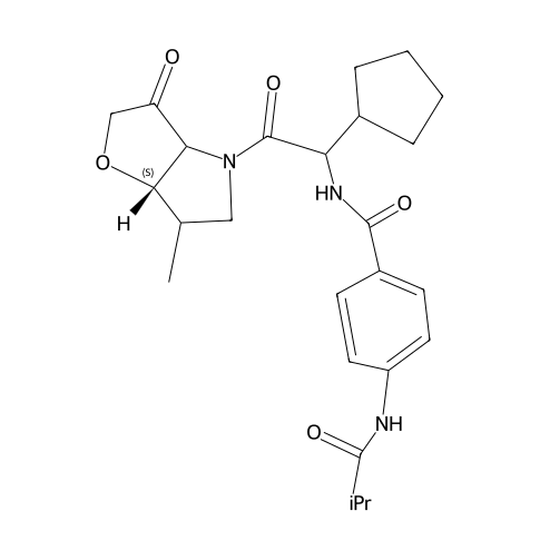 CC(C)C(=O)Nc1ccc(C(=O)NC(C(=O)N2CC(C)[C@@H]3OCC(=O)C32)C2CCCC2)cc1